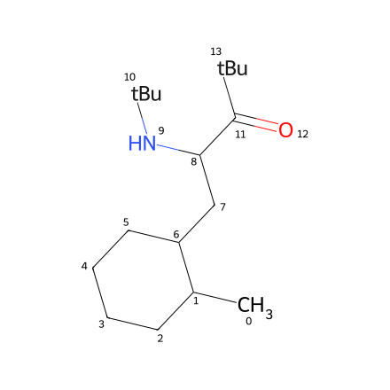 CC1CCCCC1CC(NC(C)(C)C)C(=O)C(C)(C)C